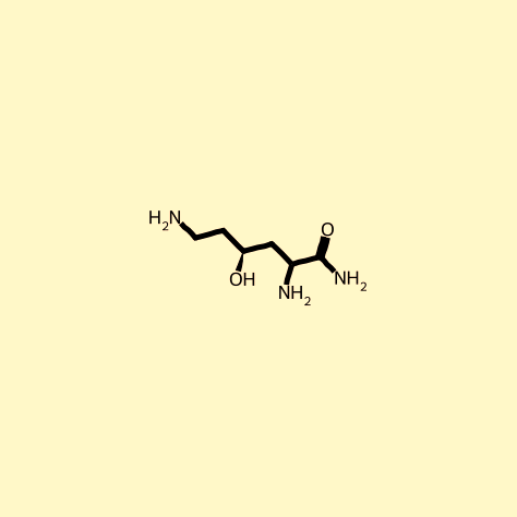 NCC[C@H](O)CC(N)C(N)=O